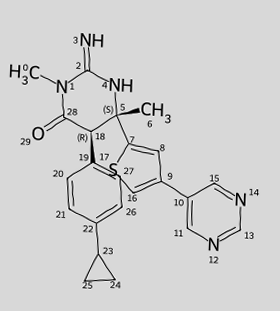 CN1C(=N)N[C@](C)(c2cc(-c3cncnc3)cs2)[C@@H](c2ccc(C3CC3)cc2)C1=O